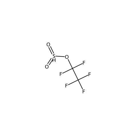 O=[SH](=O)OC(F)(F)C(F)(F)F